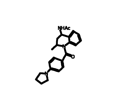 CC(=O)NC1CC(C)N(C(=O)c2ccc(N3CCCC3)cc2)c2ccccc21